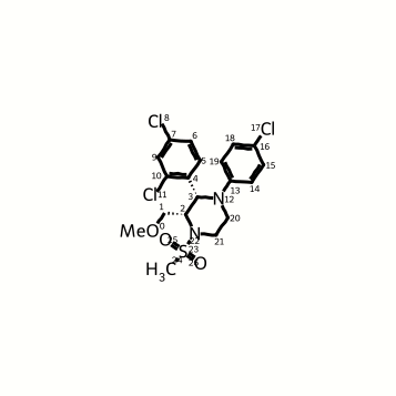 COC[C@@H]1[C@H](c2ccc(Cl)cc2Cl)N(c2ccc(Cl)cc2)CCN1S(C)(=O)=O